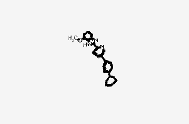 COc1cccc2nc(-c3ccc(-c4ccc(C5CCCCC5)cc4)cn3)[nH]c12